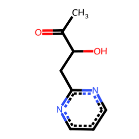 CC(=O)C(O)Cc1ncccn1